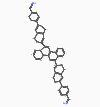 N=CC1=CC=C(C2=CC3=C(C=C(C4=Cc5c(cc(C6=CC7=C(C=C(c8ccc(C=N)cc8)CC7)CC6)c6ccccc56)C5C=CC=CC45)CC3)CC2)CC1